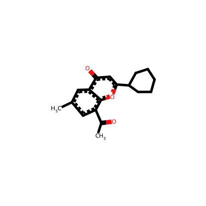 CC(=O)c1cc(C)cc2c(=O)cc(C3CCCCC3)oc12